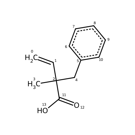 C=CC(C)(Cc1ccccc1)C(=O)O